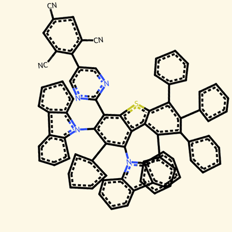 N#Cc1cc(C#N)c(-c2cnc(-c3c(-n4c5ccccc5c5ccccc54)c(-c4ccccc4)c(-n4c5ccccc5c5ccccc54)c4c3sc3c(-c5ccccc5)c(-c5ccccc5)c(-c5ccccc5)c(-c5ccccc5)c34)nc2)c(C#N)c1